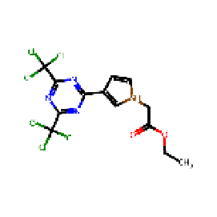 CCOC(=O)C[SH]1C=CC(c2nc(C(Cl)(Cl)Cl)nc(C(Cl)(Cl)Cl)n2)=C1